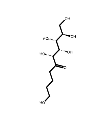 O=C(CCCCO)[C@H](O)[C@@H](O)[C@H](O)[C@H](O)CO